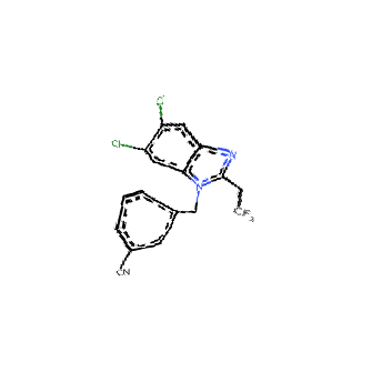 N#Cc1cccc(Cn2c(CC(F)(F)F)nc3cc(Cl)c(Cl)cc32)c1